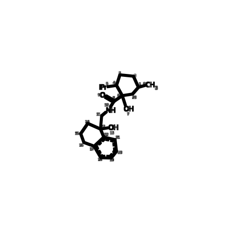 CC1CCC(C(C)C)C(O)(C(=O)NCC2(O)CCCc3ccccc32)C1